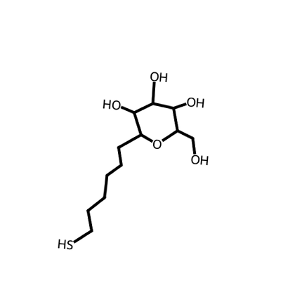 OCC1OC(CCCCCCS)C(O)C(O)C1O